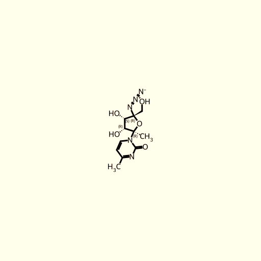 Cc1ccn([C@]2(C)O[C@@](CO)(N=[N+]=[N-])[C@@H](O)[C@H]2O)c(=O)n1